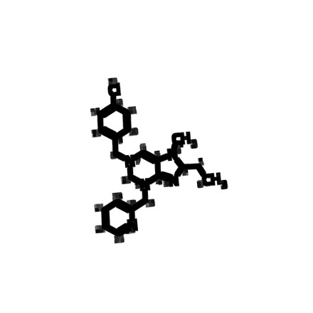 CCC1N=C2C(=CN(Cc3ccc(Cl)cc3)CN2Cc2ccccn2)N1C